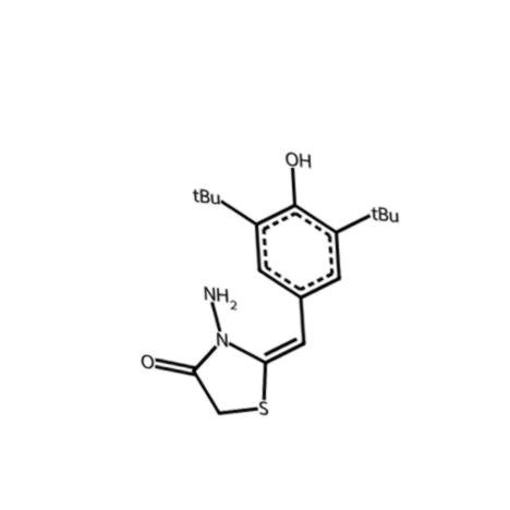 CC(C)(C)c1cc(C=C2SCC(=O)N2N)cc(C(C)(C)C)c1O